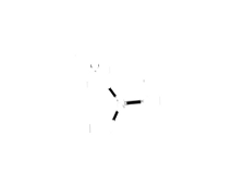 CCCN(C)C.[Cl-].[Cl-].[Mg+2]